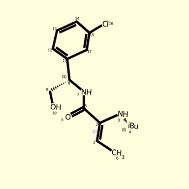 C/C=C(\N[C@@H](C)CC)C(=O)N[C@H](CO)c1cccc(Cl)c1